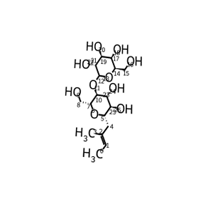 C/C=C(\C)C[C@@H]1O[C@H](CO)[C@@H](OC2O[C@H](CO)[C@H](O)[C@H](O)[C@H]2O)[C@H](O)[C@H]1O